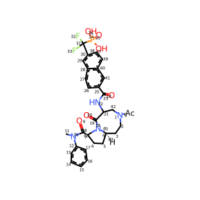 CC(=O)N1CC[C@H]2CC[C@@H](C(=O)N(C)c3ccccc3)N2C(=O)C(NC(=O)c2ccc3cc(C(F)(F)P(=O)(O)O)ccc3c2)C1